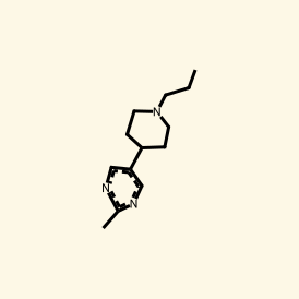 CCCN1CCC(c2cnc(C)nc2)CC1